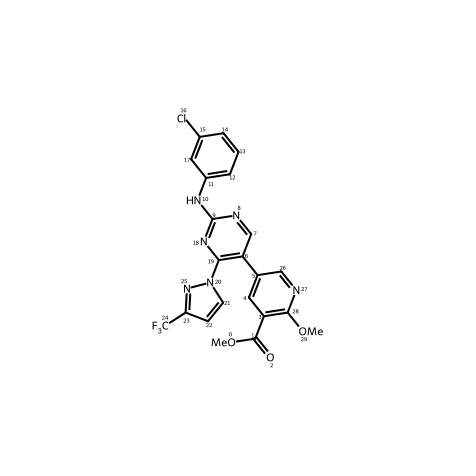 COC(=O)c1cc(-c2cnc(Nc3cccc(Cl)c3)nc2-n2ccc(C(F)(F)F)n2)cnc1OC